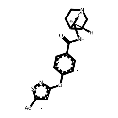 CC(=O)c1cc(Oc2ccc(C(=O)N[C@H]3CN4CCC3CC4)cc2)ns1